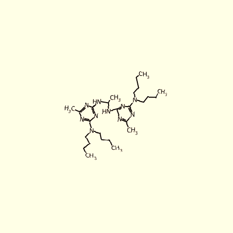 CCCCN(CCCC)c1nc(C)nc(NC(C)Nc2nc(C)nc(N(CCCC)CCCC)n2)n1